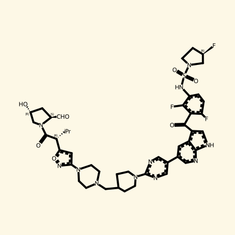 CC(C)[C@@H](C(=O)N1C[C@H](O)C[C@H]1C=O)c1cc(N2CCN(CC3CCN(c4ncc(-c5cnc6[nH]cc(C(=O)c7c(F)ccc(NS(=O)(=O)N8CC[C@@H](F)C8)c7F)c6c5)cn4)CC3)CC2)no1